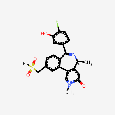 CCS(=O)(=O)Cc1ccc2c(c1)-c1cn(C)c(=O)cc1[C@H](C)N=C2c1ccc(F)c(O)c1